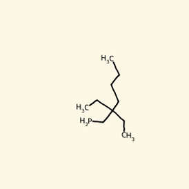 CCCCC(CC)(CC)CP